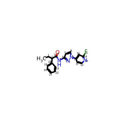 CCC(C(=O)Nc1ccn(-c2ccnc(F)c2)n1)c1ccccc1